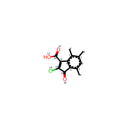 Cc1cc(C)c2c(c1C)C(C(=O)O)=C(Cl)C2=O